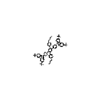 CCCCc1ccc(-c2cc(-c3ccc(-n4c5ccc(C(C)(C)C)cc5c5cc(C(C)(C)C)ccc54)cc3)c(-c3ccc(CCCC)cc3)cc2-c2ccc(-n3c4ccc(C(C)(C)C)cc4c4cc(C(C)(C)C)ccc43)cc2)cc1